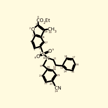 CCOC(=O)c1oc2ccc(S(=O)(=O)N(CCc3ccccc3)Cc3ccc(C#N)cc3)cc2c1C